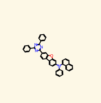 c1ccc(-c2nc(-c3ccccc3)nc(-c3ccc4c(c3)oc3cc(N(c5ccccc5)c5cccc6ccccc56)ccc34)n2)cc1